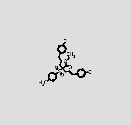 CCOC(=O)C(CC=Cc1ccc(Cl)cc1)(CCCc1ccc(Cl)cc1)S(=O)(=O)c1ccc(C)cc1